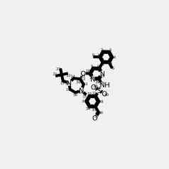 Cc1cccc(C)c1-c1cc(O[C@H]2CN(C)CCN(CC(C)(C)C)C2)nc(NS(=O)(=O)c2cccc(C=O)c2)n1